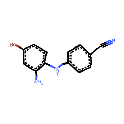 N#Cc1ccc(Nc2ccc(Br)cc2N)cc1